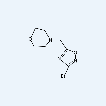 CCc1noc(CN2CCOCC2)n1